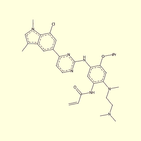 C=CC(=O)Nc1cc(Nc2nccc(-c3cc(Cl)c4c(c3)c(C)cn4C)n2)c(OC(C)C)cc1N(C)CCN(C)C